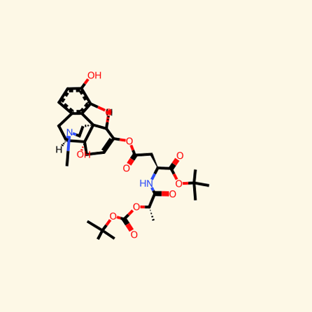 C[C@H](OC(=O)OC(C)(C)C)C(=O)N[C@@H](CC(=O)OC1=CC[C@@]2(O)[C@H]3Cc4ccc(O)c5c4[C@@]2(CCN3C)[C@H]1O5)C(=O)OC(C)(C)C